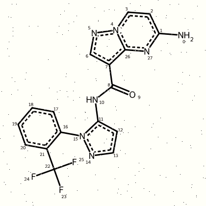 Nc1ccn2ncc(C(=O)Nc3ccnn3-c3ccccc3C(F)(F)F)c2n1